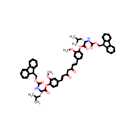 COc1cc(/C=C/C(=O)CC(=O)/C=C/c2ccc(OC(=O)[C@H](CC(C)C)NC(=O)OCC3c4ccccc4-c4ccccc43)c(OC)c2)ccc1OC(=O)[C@H](CC(C)C)NC(=O)OCC1c2ccccc2-c2ccccc21